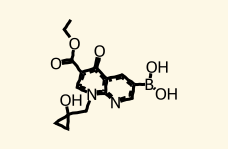 CCOC(=O)c1cn(CC2(O)CC2)c2ncc(B(O)O)cc2c1=O